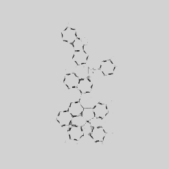 c1ccc(N(c2ccc3c(c2)oc2ccccc23)c2ccc(-c3cc4ccccc4c4c3-c3ccccc3C4(c3ccccc3)c3ccccc3)c3ccccc23)cc1